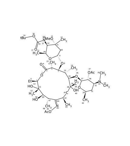 CC[C@H]1OC(=O)[C@H](C)[C@@H](O[C@H]2C[C@@](C)(OC)[C@H](NC(=O)OC(C)(C)C)[C@H](C)O2)[C@H](C)[C@@H](O[C@@H]2O[C@H](C)C[C@H](N(C)C)[C@H]2OC(C)=O)[C@](C)(O)C[C@@H](C)C(=NOC(C)=O)[C@H](C)[C@@H](O)[C@]1(C)O